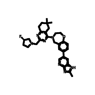 Cc1nc2ncc(-c3ccc4c(c3)CN(c3nc(CN5CC[C@@H](F)C5)nc5c3CC(C)(C)CC5)CCO4)cc2[nH]1